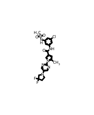 Cc1cc(C(=O)Nc2cc(Cl)cc(NS(C)(=O)=O)c2)cn1-c1ncc(N2CCC(F)(F)C2)cn1